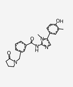 Cc1cc(-c2cnc(NC(=O)c3cccc(CN4CCCC4=O)c3)n2C)ccc1O